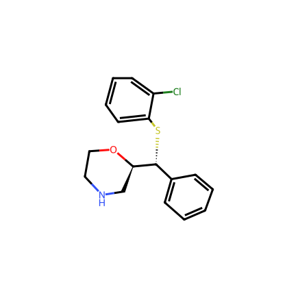 Clc1ccccc1S[C@H](c1ccccc1)[C@H]1CNCCO1